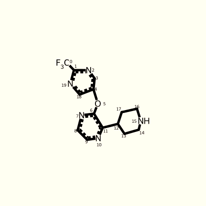 FC(F)(F)c1ncc(Oc2nccnc2C2CCNCC2)cn1